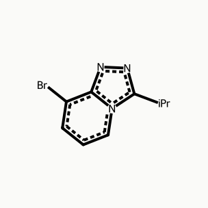 CC(C)c1nnc2c(Br)cccn12